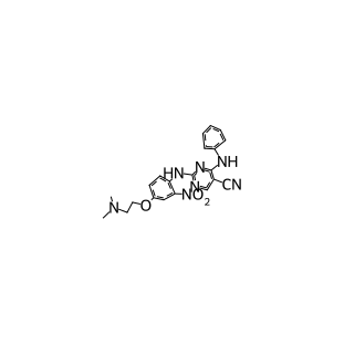 CN(C)CCOc1ccc(Nc2ncc(C#N)c(Nc3ccccc3)n2)c([N+](=O)[O-])c1